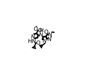 CCn1cnc2c(c(Nc3cc(NC(=O)C4CC4)ncc3C(=O)OC)cn2CC2CC2)c1=O